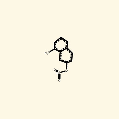 Nc1cccc2ccc(O[SH](=O)=O)cc12